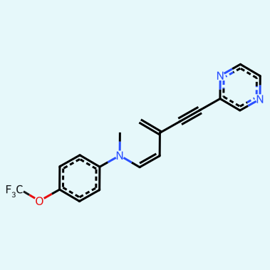 C=C(C#Cc1cnccn1)/C=C\N(C)c1ccc(OC(F)(F)F)cc1